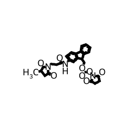 CC1CC(=O)N(CCC(=O)Nc2ccc3c(c2)C(COC(=O)ON2C(=O)CCC2=O)c2ccccc2-3)C1=O